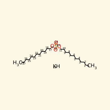 CCCCCCCCCCCCOS(=O)(=O)OCCCCCCCCCCCC.[KH]